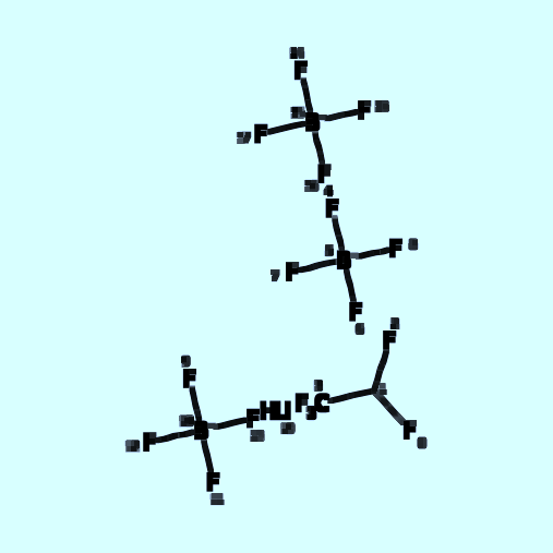 FC(F)C(F)(F)F.F[B-](F)(F)F.F[B-](F)(F)F.F[B-](F)(F)F.[LiH]